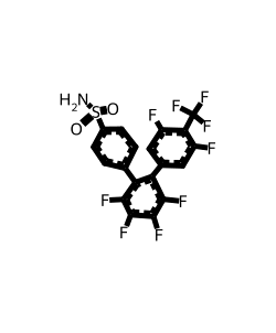 NS(=O)(=O)c1ccc(-c2c(F)c(F)c(F)c(F)c2-c2cc(F)c(C(F)(F)F)c(F)c2)cc1